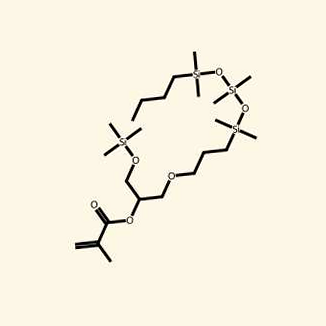 C=C(C)C(=O)OC(COCCC[Si](C)(C)O[Si](C)(C)O[Si](C)(C)CCCC)CO[Si](C)(C)C